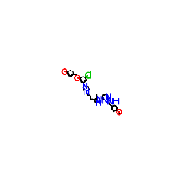 COc1ccc(CNc2nccc(-n3ncc(C=CCN4CCN(c5cc(Cl)cc(OCc6ccc(OC)cc6)c5)CC4)c3C)n2)cc1